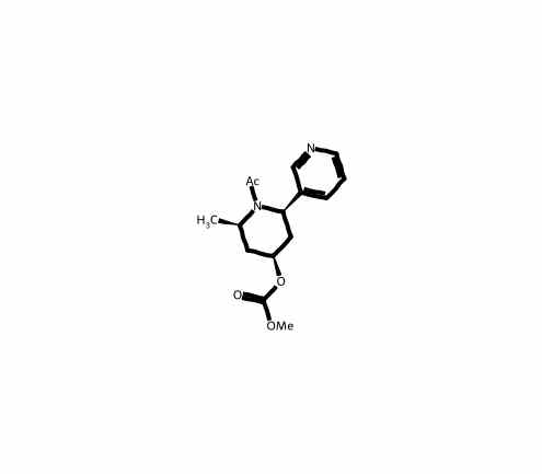 COC(=O)O[C@H]1C[C@@H](C)N(C(C)=O)[C@@H](c2cccnc2)C1